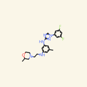 Cc1cc(NCCN2CCOC(C)C2)cc(Nc2ncn(-c3cc(F)cc(F)c3)n2)c1